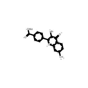 CCCc1c(-c2ccc(C(=O)OC)cc2)oc2cc(C)ccc2c1=O